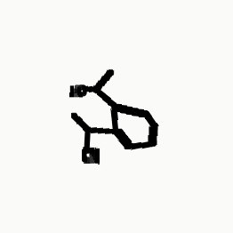 CC(O)c1ccccc1C(C)C#N